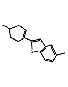 Cc1ccc2sc(C3=CCC(C)CC3)cc2c1